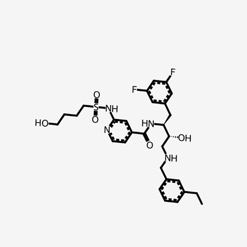 CCc1cccc(CNC[C@@H](O)[C@H](Cc2cc(F)cc(F)c2)NC(=O)c2ccnc(NS(=O)(=O)CCCCO)c2)c1